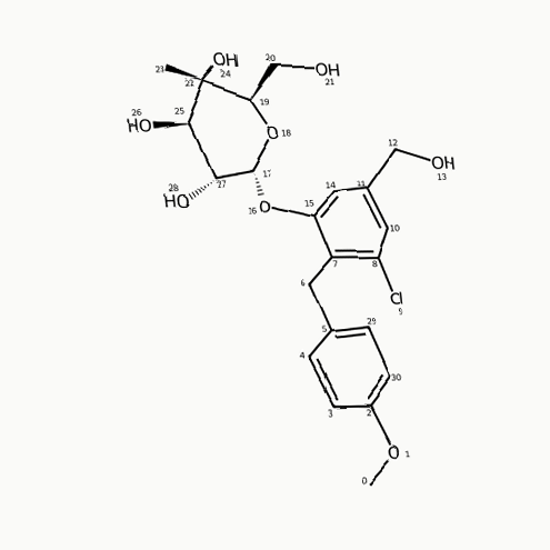 COc1ccc(Cc2c(Cl)cc(CO)cc2O[C@H]2O[C@H](CO)[C@@](C)(O)[C@H](O)[C@H]2O)cc1